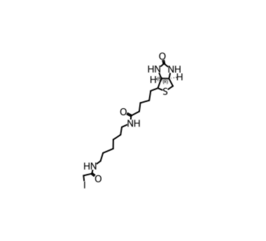 O=C(CI)NCCCCCCNC(=O)CCCCC1SC[C@@H]2NC(=O)N[C@H]12